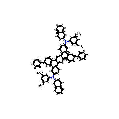 Cc1cc(C)cc(N(c2ccc3ccccc3c2)c2ccc3c(c2)c2cc(-c4ccccc4)ccc2c2cc4c5ccc(N(c6cc(C)cc(C)c6)c6ccc7ccccc7c6)cc5c5cc(-c6ccccc6)ccc5c4cc32)c1